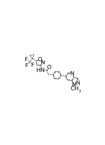 Cn1ncc2ncc(-c3ccc(CC(=O)Nc4cc(C5(C(F)(F)F)CC5)on4)cc3)cc21